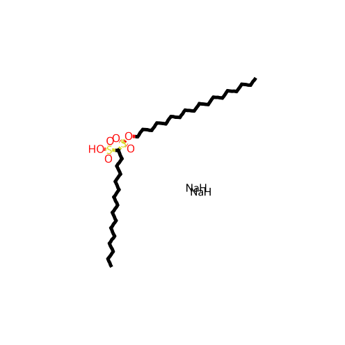 CCCCCCCCCCCCCCCCCCOS(=O)(=O)C(CCCCCCCCCCCCCCC)S(=O)(=O)O.[NaH].[NaH]